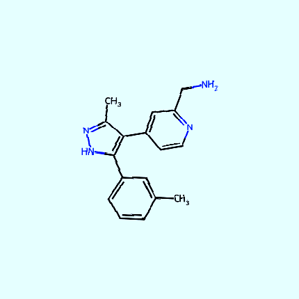 Cc1cccc(-c2[nH]nc(C)c2-c2ccnc(CN)c2)c1